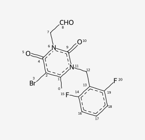 Cc1c(Br)c(=O)n(CC=O)c(=O)n1Cc1c(F)cccc1F